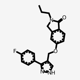 CCCN1Cc2cc(OCc3c[nH]nc3-c3ccc(F)cc3)ccc2C1=O